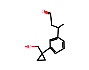 CC(CC=O)c1cccc(C2(CO)CC2)c1